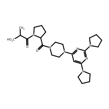 CC(C(=O)O)C(=O)N1CCCC1C(=O)N1CCN(c2cc(N3CCCC3)nc(N3CCCC3)n2)CC1